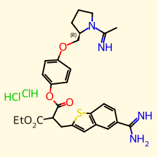 CCOC(=O)C(Cc1cc2cc(C(=N)N)ccc2s1)C(=O)Oc1ccc(OC[C@H]2CCCN2C(C)=N)cc1.Cl.Cl